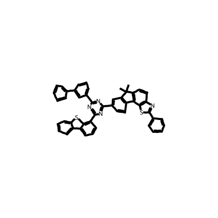 CC1(C)c2cc(-c3nc(-c4cccc(-c5ccccc5)c4)nc(-c4cccc5c4sc4ccccc45)n3)ccc2-c2c1ccc1nc(-c3ccccc3)sc21